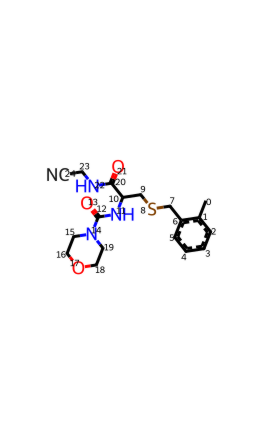 Cc1ccccc1CSCC(NC(=O)N1CCOCC1)C(=O)NCC#N